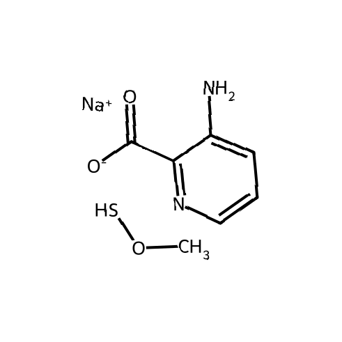 COS.Nc1cccnc1C(=O)[O-].[Na+]